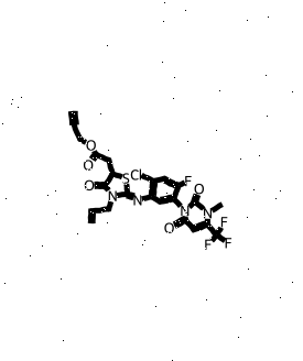 C#CCOC(=O)CC1SC(=Nc2cc(-n3c(=O)cc(C(F)(F)F)n(C)c3=O)c(F)cc2Cl)N(CC=C)C1=O